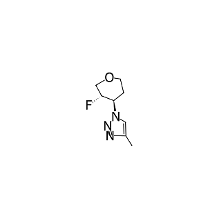 Cc1cn([C@@H]2CCOC[C@H]2F)nn1